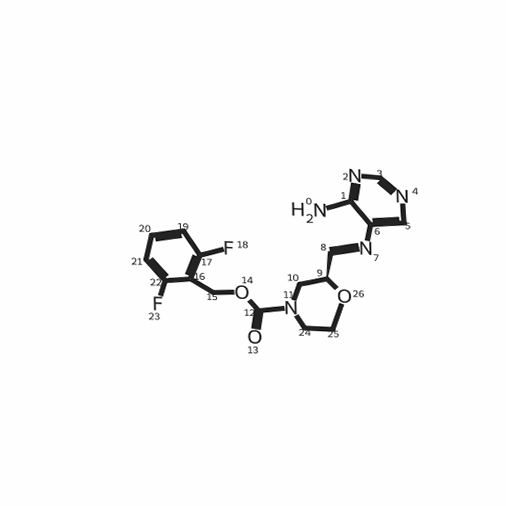 Nc1ncncc1/N=C/[C@@H]1CN(C(=O)OCc2c(F)cccc2F)CCO1